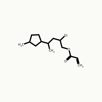 C=CC(=O)OCC(CC)CC(C)C1CCC(C)C1